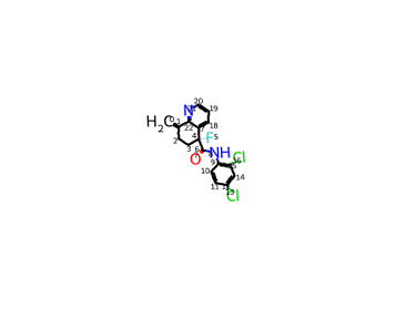 C=C1CC[C@](F)(C(=O)Nc2ccc(Cl)cc2Cl)c2cccnc21